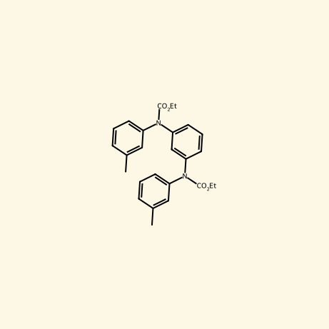 CCOC(=O)N(c1cccc(C)c1)c1cccc(N(C(=O)OCC)c2cccc(C)c2)c1